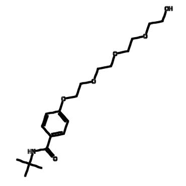 CC(C)(C)NC(=O)c1ccc(OCCOCCOCCOCCO)cc1